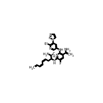 C=C/C=C\C=C/CC(Nc1nc(Nc2cnc(CC)c(-n3ccnn3)c2)c(C(=C)N)cc1F)[C@H](C)N